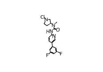 CN(C(=O)Nc1ccc(-c2cc(F)cc(F)c2)cn1)C1CCN(Cl)C1